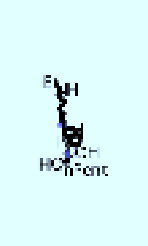 CCCCC[C@H](O)/C=C/[C@@H]1[C@H]2C/C(=C/CCCCNCC)C[C@H]2C[C@H]1O